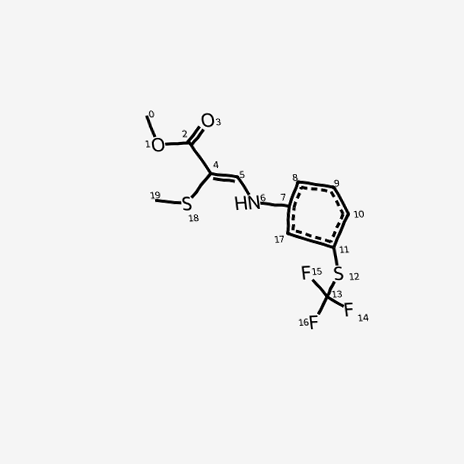 COC(=O)C(=CNc1cccc(SC(F)(F)F)c1)SC